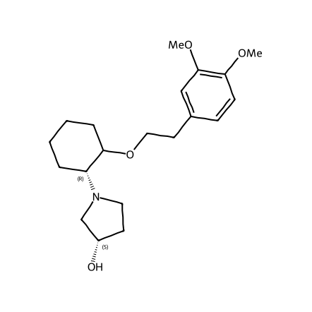 COc1ccc(CCOC2CCCC[C@H]2N2CC[C@H](O)C2)cc1OC